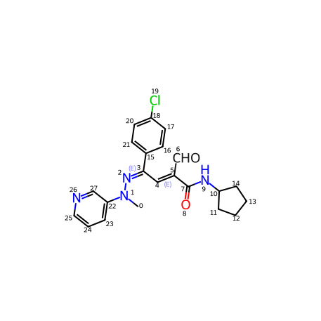 CN(/N=C(\C=C(/C=O)C(=O)NC1CCCC1)c1ccc(Cl)cc1)c1cccnc1